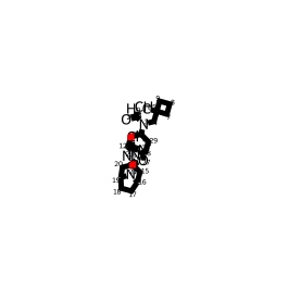 CC(=O)N(CC1(C)CCC1)C1CCN(C2CC3CCC(C2)N3c2nc(C)no2)CC1